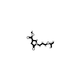 COC(=O)C1CC(=O)N(CCCOC(C)C)C1